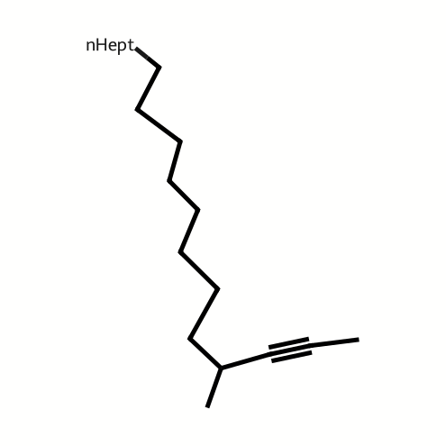 CC#CC(C)CCCCCCCCCCCCCCC